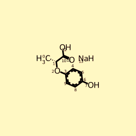 C[C@@H](Oc1ccc(O)cc1)C(=O)O.[NaH]